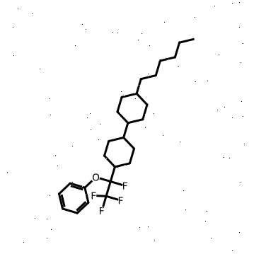 CCCCCCC1CCC(C2CCC(C(F)(Oc3ccccc3)C(F)(F)F)CC2)CC1